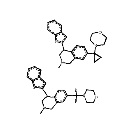 CN1Cc2cc(C(C)(C)N3CCOCC3)ccc2C(c2cc3ccccc3s2)C1.CN1Cc2cc(C3(N4CCOCC4)CC3)ccc2C(c2cc3ccccc3s2)C1